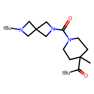 CC(C)(C)C(=O)C1(C)CCN(C(=O)N2CC3(C2)CN(C(C)(C)C)C3)CC1